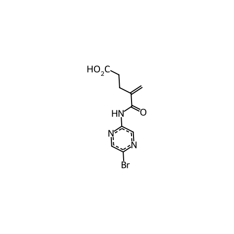 C=C(CCC(=O)O)C(=O)Nc1cnc(Br)cn1